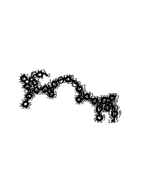 C=Cc1ccc(OCCC2(c3ccccc3)c3ccccc3-c3ccc(N(c4ccc(-c5ccccc5)cc4)c4ccc(-c5ccc6c(c5)c5ccccc5n6-c5ccc(COCc6ccc(COCc7ccc(-n8c9ccccc9c9cc(-c%10ccc(N(c%11ccc(-c%12ccccc%12)cc%11)c%11ccc%12c(c%11)C(CCOc%11ccc(C=C)cc%11)(c%11ccccc%11)c%11ccccc%11-%12)cc%10)ccc98)cc7)cc6)cc5)cc4)cc32)cc1